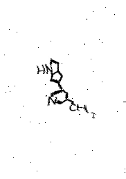 C=Cc1cncc(C2=CC3NCCC3C2)c1